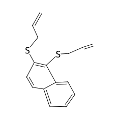 C=CCSc1ccc2ccccc2c1SCC=C